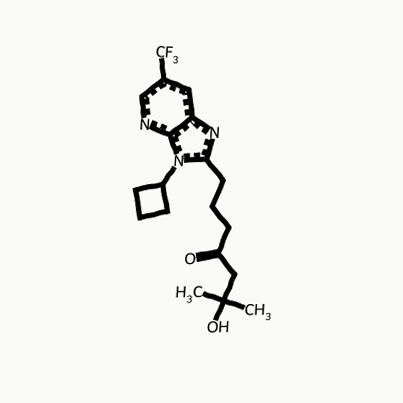 CC(C)(O)CC(=O)CCCc1nc2cc(C(F)(F)F)cnc2n1C1CCC1